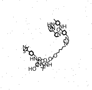 Cc1ccc(NC(=O)c2ccc(CN3CCN(CCCCCCOCCOCC(=O)N[C@H](C(=O)N4C[C@H](O)C[C@H]4C(=O)NCc4ccc(-c5scnc5C)cc4)C(C)(C)C)CC3)cc2)cc1Nc1nccc(-c2cccnc2)n1